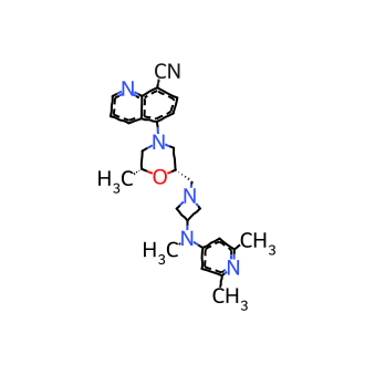 Cc1cc(N(C)C2CN(C[C@H]3CN(c4ccc(C#N)c5ncccc45)C[C@@H](C)O3)C2)cc(C)n1